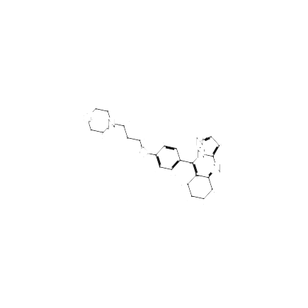 c1cc2nc3c(c(-c4ccc(OCCCN5CCOCC5)cc4)n2n1)CCCC3